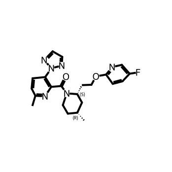 Cc1ccc(-n2nccn2)c(C(=O)N2CC[C@@H](C)C[C@H]2CCOc2ccc(F)cn2)n1